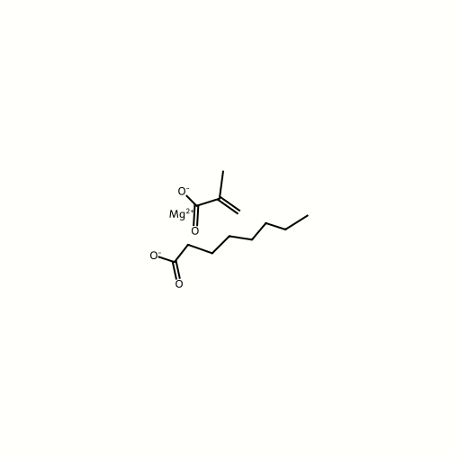 C=C(C)C(=O)[O-].CCCCCCCC(=O)[O-].[Mg+2]